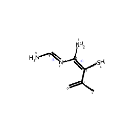 C=C(C)/C(S)=C(N)\N=C\N